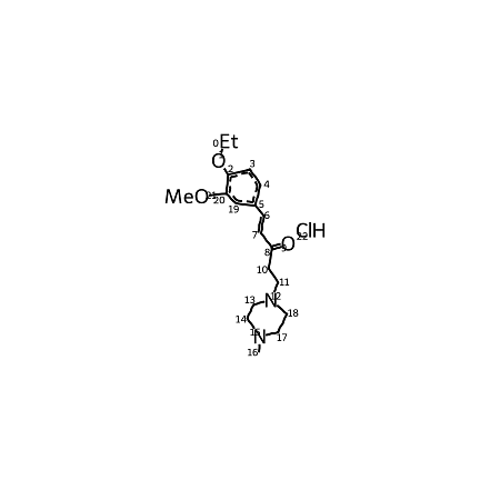 CCOc1ccc(C=CC(=O)CCN2CCN(C)CC2)cc1OC.Cl